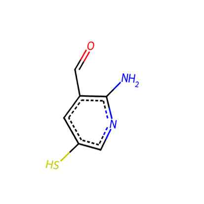 Nc1ncc(S)cc1C=O